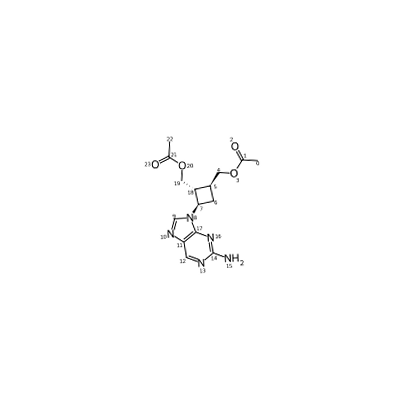 CC(=O)OC[C@H]1C[C@@H](n2cnc3cnc(N)nc32)[C@@H]1COC(C)=O